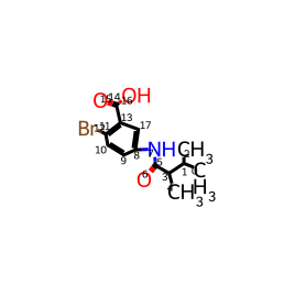 CC(C)C(C)C(=O)Nc1ccc(Br)c(C(=O)O)c1